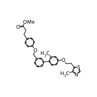 COC(=O)CCc1ccc(OCc2cccc(-c3ccc(OCCc4scnc4C)cc3C)c2)cc1